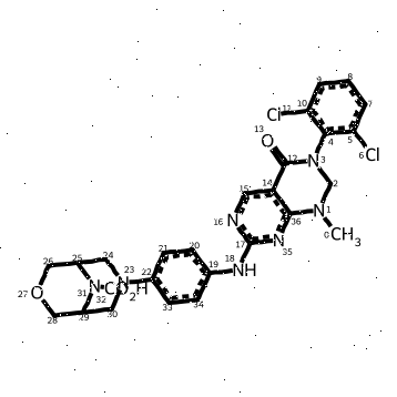 CN1CN(c2c(Cl)cccc2Cl)C(=O)c2cnc(Nc3ccc(N4CC5COCC(C4)N5C(=O)O)cc3)nc21